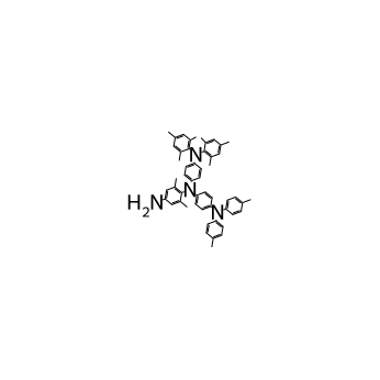 Cc1ccc(N(c2ccc(C)cc2)c2ccc(N(c3ccc(N(c4c(C)cc(C)cc4C)c4c(C)cc(C)cc4C)cc3)c3c(C)cc(N)cc3C)cc2)cc1